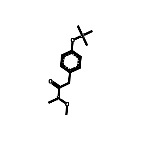 CON(C)C(=O)Cc1ccc(O[Si](C)(C)C)cc1